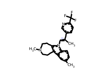 C/C(=C\n1c2c(c3cc(C)ccc31)CCN(C)CC2)c1ccc(C(F)(F)F)nc1